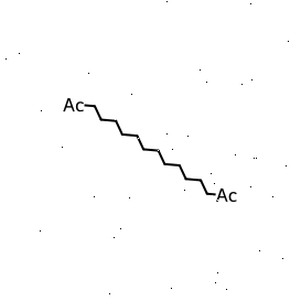 CC(=O)CCCCCCCCCCCCC(C)=O